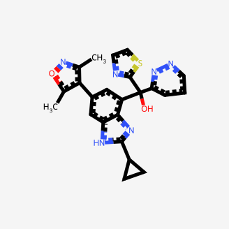 Cc1noc(C)c1-c1cc(C(O)(c2cccnn2)c2nccs2)c2nc(C3CC3)[nH]c2c1